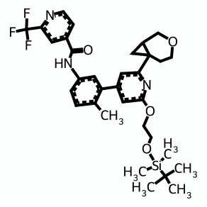 Cc1ccc(NC(=O)c2ccnc(C(F)(F)F)c2)cc1-c1cc(OCCO[Si](C)(C)C(C)(C)C)nc(C23CCOCC2C3)c1